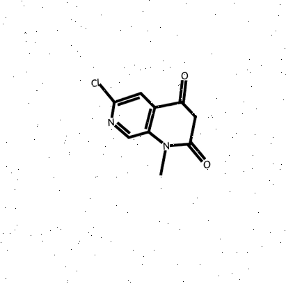 CN1C(=O)CC(=O)c2cc(Cl)ncc21